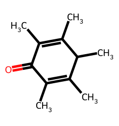 CC1=C(C)C(C)C(C)=C(C)C1=O